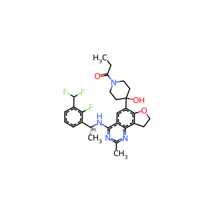 CCC(=O)N1CCC(O)(c2cc3c(N[C@H](C)c4cccc(C(F)F)c4F)nc(C)nc3c3c2OCC3)CC1